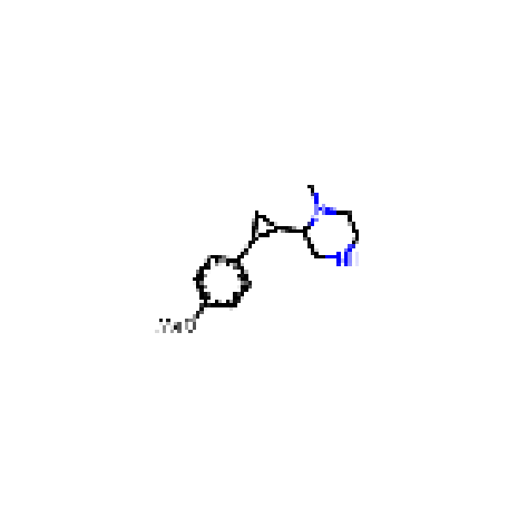 COc1ccc(C2CC2C2CNCCN2C)cc1